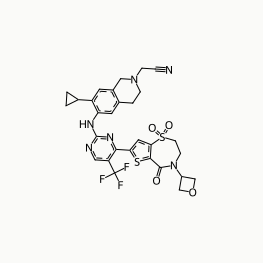 N#CCN1CCc2cc(Nc3ncc(C(F)(F)F)c(-c4cc5c(s4)C(=O)N(C4COC4)CCS5(=O)=O)n3)c(C3CC3)cc2C1